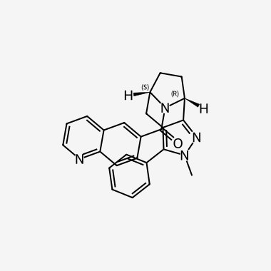 Cn1nc2c(c1-c1ccccc1)C[C@@H]1CC[C@H]2N1C(=O)c1ccc2ncccc2c1